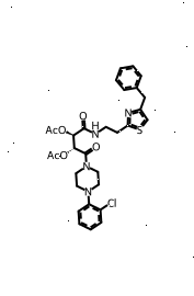 CC(=O)O[C@@H](C(=O)NCCc1nc(Cc2ccccc2)cs1)[C@@H](OC(C)=O)C(=O)N1CCN(c2ccccc2Cl)CC1